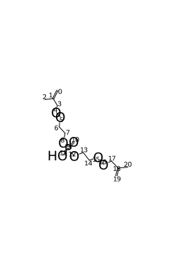 C=C(C)COOCCOP(=O)(O)OCCOOCC(=C)C